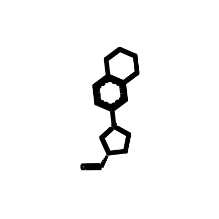 O=C[C@H]1CCN(c2ccc3c(c2)CCCC3)C1